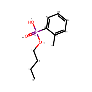 CCCCOP(=O)(O)c1ccccc1C